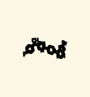 CC(c1ccc(F)cc1)c1cnc(C2=CCN(c3ncnn4cc(Br)cc34)CC2)nc1